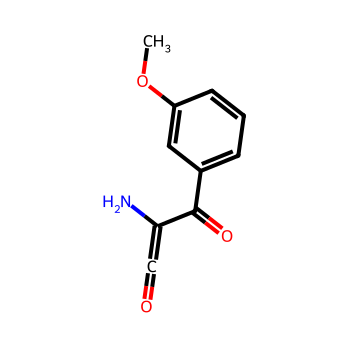 COc1cccc(C(=O)C(N)=C=O)c1